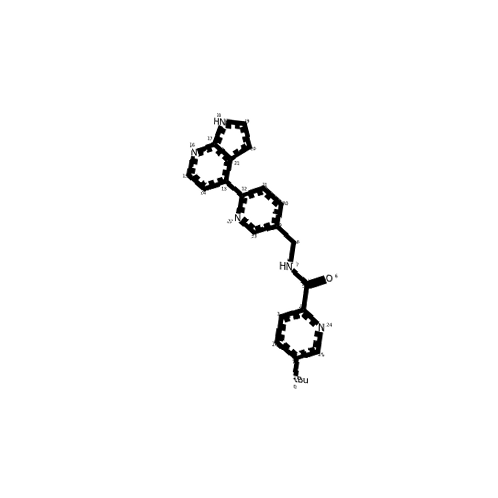 CC(C)(C)c1ccc(C(=O)NCc2ccc(-c3ccnc4[nH]ccc34)nc2)nc1